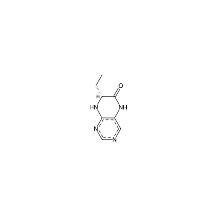 CC[C@H]1Nc2ncncc2NC1=O